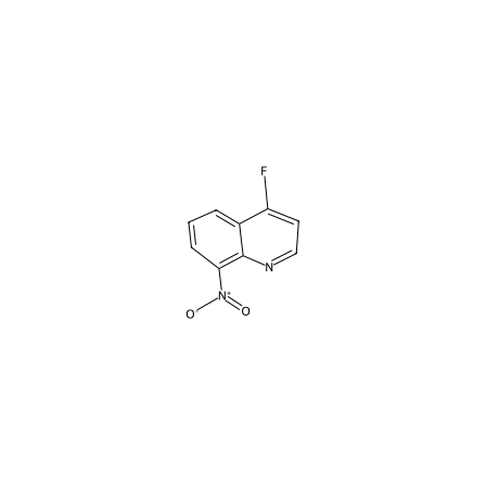 O=[N+]([O-])c1cccc2c(F)ccnc12